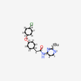 CC(C)(C)c1nccc(NC(=O)Cc2ccc(Oc3ccc(Cl)cc3)cc2)n1